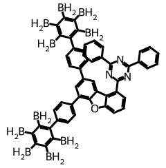 Bc1c(B)c(B)c(-c2ccc(-c3cc(-c4ccc(-c5c(B)c(B)c(B)c(B)c5B)cc4)c4oc5cccc(-c6nc(-c7ccccc7)nc(-c7ccccc7)n6)c5c4c3)cc2)c(B)c1B